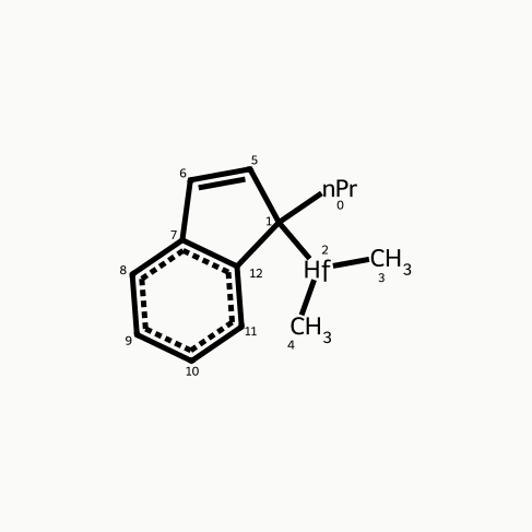 CCC[C]1([Hf]([CH3])[CH3])C=Cc2ccccc21